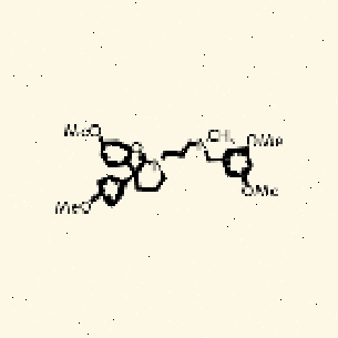 COc1ccc(C2(c3ccc(OC)cc3)CCCN(CCCN(C)Cc3cc(OC)cc(OC)c3)C2=O)cc1